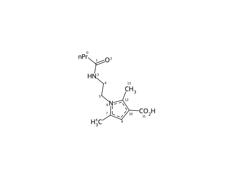 CCCC(=O)NCCn1c(C)cc(C(=O)O)c1C